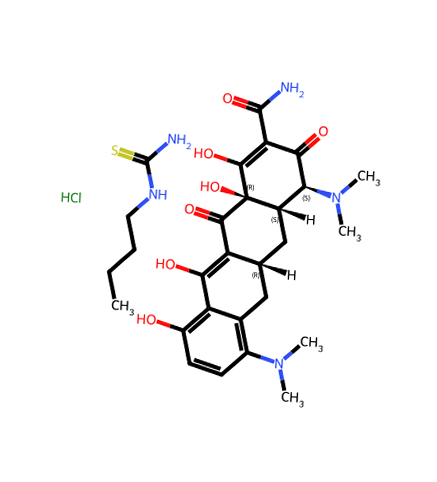 CCCCNC(N)=S.CN(C)c1ccc(O)c2c1C[C@H]1C[C@H]3[C@H](N(C)C)C(=O)C(C(N)=O)=C(O)[C@@]3(O)C(=O)C1=C2O.Cl